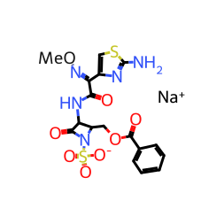 CON=C(C(=O)NC1C(=O)N(S(=O)(=O)[O-])C1COC(=O)c1ccccc1)c1csc(N)n1.[Na+]